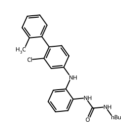 CCCCNC(=O)Nc1ccccc1Nc1ccc(-c2ccccc2C)c(Cl)c1